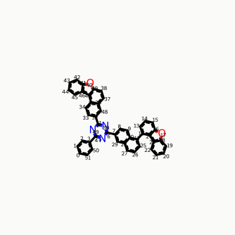 c1ccc(-c2nc(-c3ccc4c(-c5cccc6oc7ccccc7c56)cccc4c3)nc(-c3ccc4c(ccc5oc6ccccc6c54)c3)n2)cc1